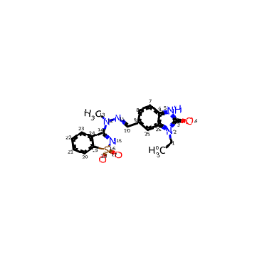 CCn1c(=O)[nH]c2ccc(/C=N/N(C)C3=NS(=O)(=O)c4ccccc43)cc21